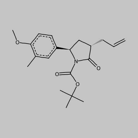 C=CC[C@H]1C[C@H](c2ccc(OC)c(C)c2)N(C(=O)OC(C)(C)C)C1=O